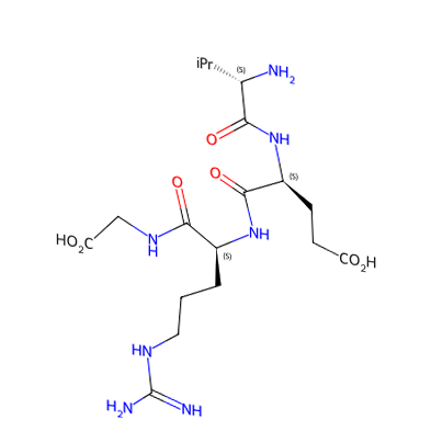 CC(C)[C@H](N)C(=O)N[C@@H](CCC(=O)O)C(=O)N[C@@H](CCCNC(=N)N)C(=O)NCC(=O)O